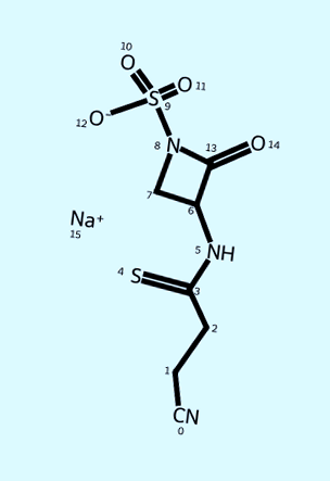 N#CCCC(=S)NC1CN(S(=O)(=O)[O-])C1=O.[Na+]